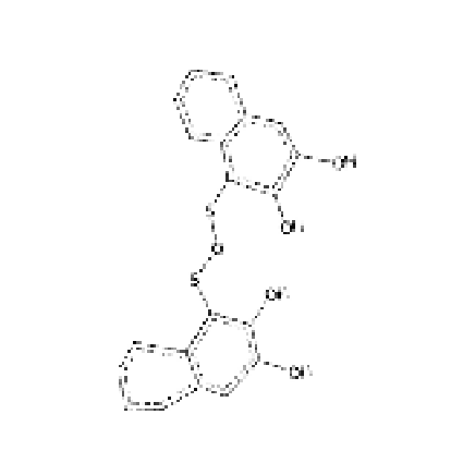 Oc1cc2ccccc2c(SOSc2c(O)c(O)cc3ccccc23)c1O